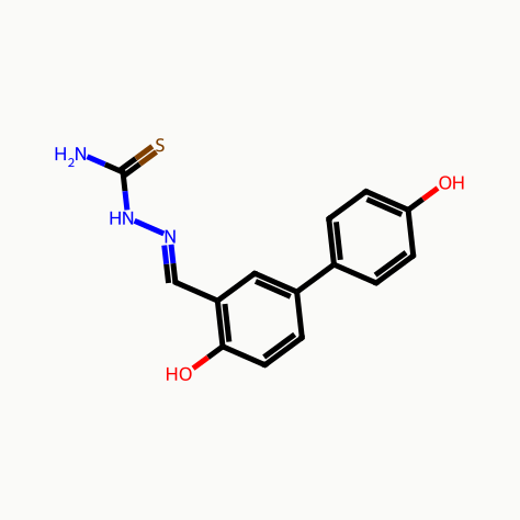 NC(=S)NN=Cc1cc(-c2ccc(O)cc2)ccc1O